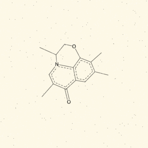 Cc1cc2c(=O)c(C)cn3c2c(c1C)OCC3C